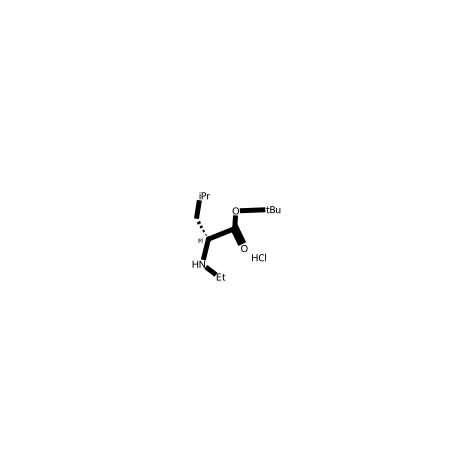 CCN[C@H](CC(C)C)C(=O)OC(C)(C)C.Cl